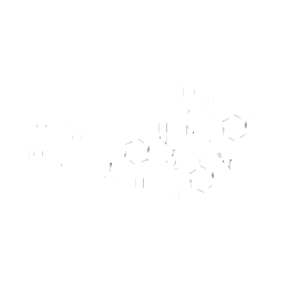 COc1cc(C(=O)OC[C@H]2O[C@@H](O)[C@H](O)[C@@H](O)[C@@H]2O)ccc1NC(=O)[C@@H]1N[C@@H](CC(C)(C)C)[C@](C#N)(c2ccc(Cl)cc2F)[C@H]1c1cccc(Cl)c1F